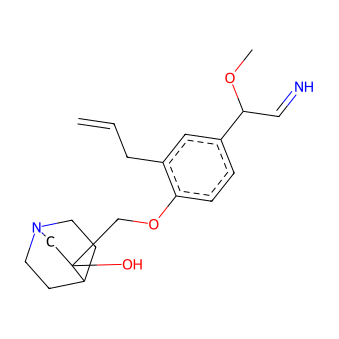 C=CCc1cc(C(C=N)OC)ccc1OCC1(O)CN2CCC1CC2